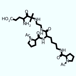 CC(=O)N1CCCC1C(=O)NCCCCC(NC(=O)C1CCCN1C(C)=O)C(=O)NCCNC(C)(C)C(=O)C(N)CCC(=O)O